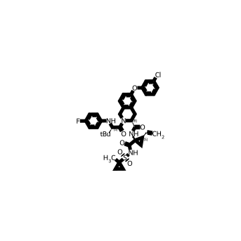 C=C[C@@H]1C[C@]1(NC(=O)[C@H]1Cc2cc(Oc3cccc(Cl)c3)ccc2CN1C(=O)[C@@H](Nc1ccc(F)cc1)C(C)(C)C)C(=O)NS(=O)(=O)C1(C)CC1